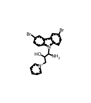 NC(C(O)C[n+]1ccccc1)n1c2ccc(Br)cc2c2cc(Br)ccc21